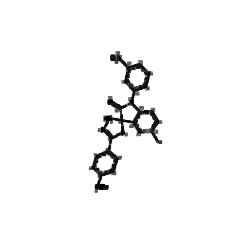 COc1ccc(C2=NNC3(S2)C(=O)N(c2cccc([N+](=O)[O-])c2)c2ccc(C)cc23)cc1